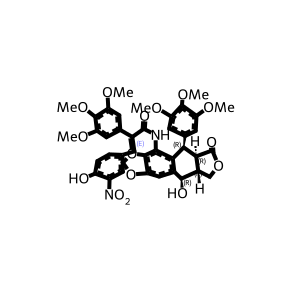 COc1cc(/C(=C\c2ccc(O)c([N+](=O)[O-])c2)C(=O)Nc2c3c(cc4c2[C@@H](c2cc(OC)c(OC)c(OC)c2)[C@H]2C(=O)OC[C@@H]2[C@H]4O)OCO3)cc(OC)c1OC